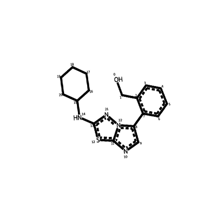 OCc1ccccc1-c1cnc2sc(NC3CCCCC3)nn12